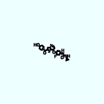 O=C(Nc1ccc(Oc2ccnc3cc(C(=O)N4CCC(O)CC4)sc23)c(F)c1)NC1CC1